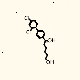 OCCCCC[C@H](O)c1ccc(-c2ccc(Cl)cc2Cl)cc1